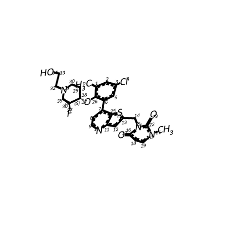 Cc1cc(Cl)cc(-c2ccnc3cc(Cn4c(=O)ccn(C)c4=O)sc23)c1O[C@H]1CCN(CCO)C[C@@H]1F